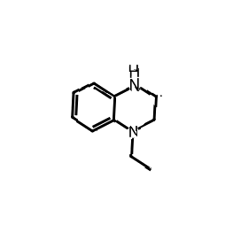 CCN1C[CH]Nc2ccccc21